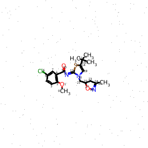 COc1ccc(Cl)cc1C(=O)/N=c1\sc(C(C)(C)C)cn1CC1CC(C)=NO1